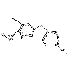 Cc1cc(Oc2ccc([N+](=O)[O-])nc2)ccc1N